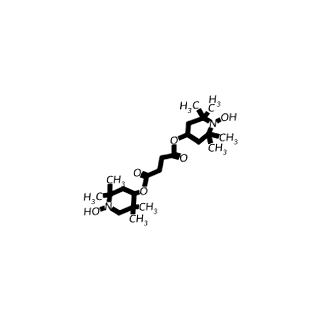 CC1(C)CN(O)C(C)(C)CC1OC(=O)CCC(=O)OC1CC(C)(C)N(O)C(C)(C)C1